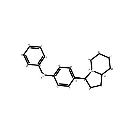 c1ccc(Oc2ccc([C@@H]3CCC4CCCCN43)cc2)cc1